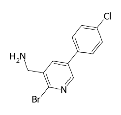 NCc1cc(-c2ccc(Cl)cc2)cnc1Br